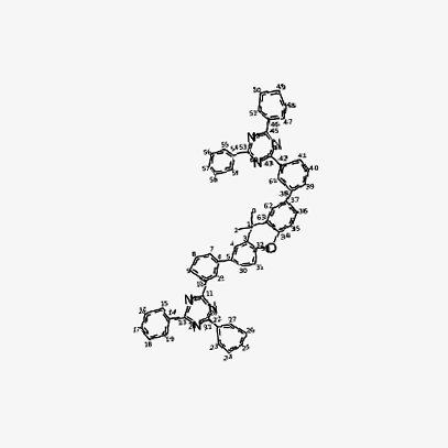 CC1(C)c2cc(-c3cccc(-c4nc(-c5ccccc5)nc(-c5ccccc5)n4)c3)ccc2Oc2ccc(-c3cccc(-c4nc(-c5ccccc5)nc(-c5ccccc5)n4)c3)cc21